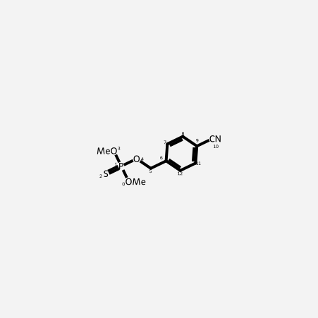 COP(=S)(OC)OCc1ccc(C#N)cc1